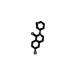 O=c1c2ccc(Cl)cc2ccn1-c1cccnc1